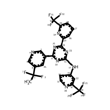 CC(F)(F)c1cncc(-c2nc(Nc3ccnc(C(F)(F)F)c3)nc(-c3cccc(C(F)(F)F)n3)n2)c1